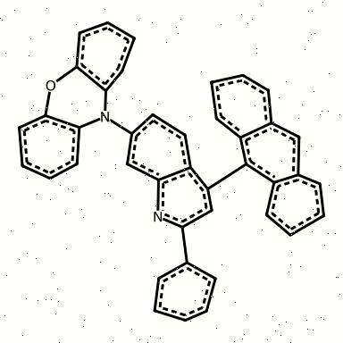 c1ccc(-c2cc(-c3c4ccccc4cc4ccccc34)c3ccc(N4c5ccccc5Oc5ccccc54)cc3n2)cc1